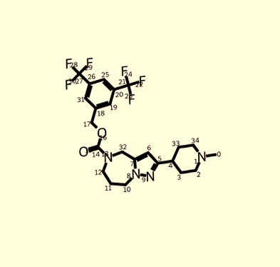 CN1CCC(c2cc3n(n2)CCCN(C(=O)OCc2cc(C(F)(F)F)cc(C(F)(F)F)c2)C3)CC1